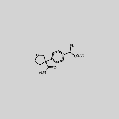 CCOC(=O)C(CC)c1ccc(C2(C(N)=O)CCOC2)cc1